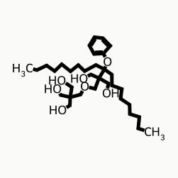 CCCCCCCCCC(CCCCCCCCC)(Oc1ccccc1)C(CO)(CO)COCC(CO)(CO)CO